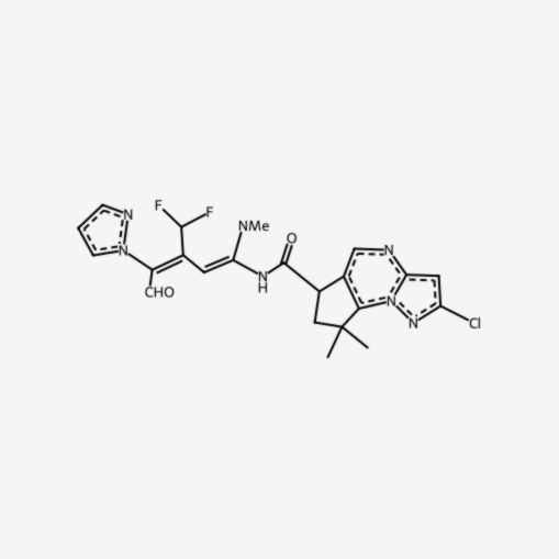 CN/C(=C\C(=C(/C=O)n1cccn1)C(F)F)NC(=O)C1CC(C)(C)c2c1cnc1cc(Cl)nn21